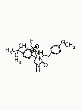 COc1ccc(CCN2C(=O)NCC2(NS(=O)(=O)CF)c2ccc(C(C)(C)C)cc2)cc1